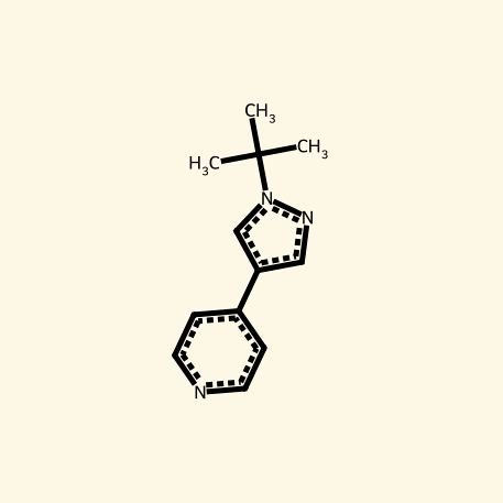 CC(C)(C)n1cc(-c2ccncc2)cn1